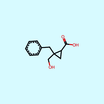 O=C(O)C1CC1(CO)Cc1ccccc1